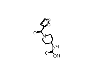 O=C(O)NC1CCN(C(=O)c2ccno2)CC1